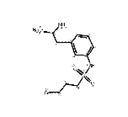 N[C@@H](Cc1cccc(NS(=O)(=O)CCCCl)c1)C(=O)O